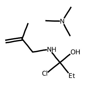 C=C(C)CNC(O)(Cl)CC.CN(C)C